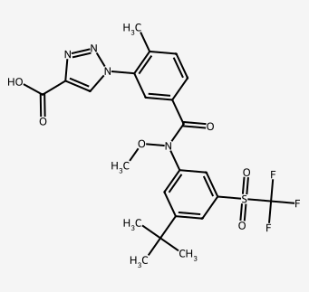 CON(C(=O)c1ccc(C)c(-n2cc(C(=O)O)nn2)c1)c1cc(C(C)(C)C)cc(S(=O)(=O)C(F)(F)F)c1